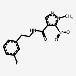 Cn1ncc(C(=O)NCCc2cccc(F)c2)c1[N+](=O)[O-]